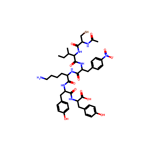 CCC(C)C(NC(=O)C(CS)NC(C)=O)C(=O)NC(Cc1ccc([N+](=O)[O-])cc1)C(=O)NC(CCCCN)C(=O)NC(Cc1ccc(O)cc1)C(=O)NC(Cc1ccc(O)cc1)C(=O)O